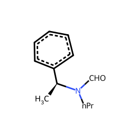 CCCN(C=O)[C@@H](C)c1ccccc1